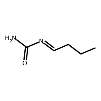 CCCC=NC(N)=O